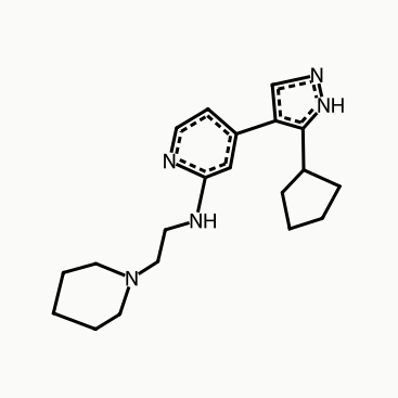 c1cc(-c2cn[nH]c2C2CCCC2)cc(NCCN2CCCCC2)n1